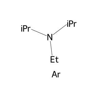 CCN(C(C)C)C(C)C.[Ar]